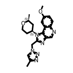 COc1ccc2ncc3nc(Cn4cc(C)nn4)n([C@H]4CCO[C@@H](C)C4)c3c2c1